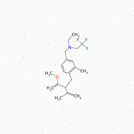 C=C(C)C(Cc1ccc(CN(CC)CC(F)(F)F)cc1C)C(=C)OC